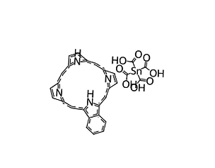 C1=Cc2cc3[nH]c(cc4nc(cc5ccc(cc1n2)[nH]5)C=C4)c1ccccc31.O=[C](O)[Sn]([C](=O)O)([C](=O)O)[C](=O)O